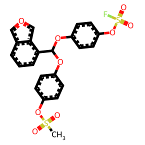 CS(=O)(=O)Oc1ccc(OC(Oc2ccc(OS(=O)(=O)F)cc2)c2cccc3cocc23)cc1